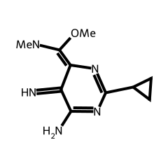 CN/C(OC)=C1/N=C(C2CC2)N=C(N)C1=N